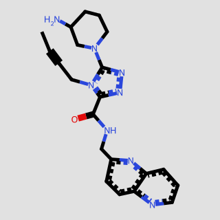 CC#CCn1c(C(=O)NCc2ccc3ncccc3n2)nnc1N1CCCC(N)C1